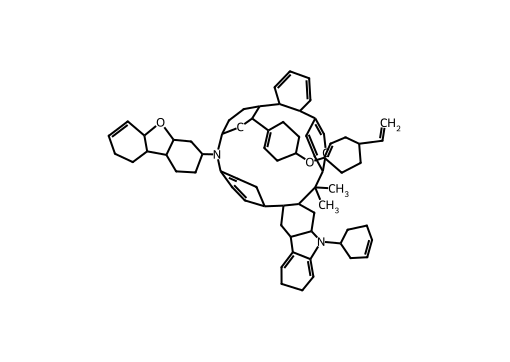 C=CC1CC=C(OC2CC=C(C3CC4CCC3C3C=CC=CC3C3=CCC(C=C3)C(C)(C)C3CC5C(CC3C3C=CC(=CC3)N4C3CCC4C(C3)OC3C=CCCC34)C3=CCCC=C3N5C3CC=CCC3)CC2)CC1